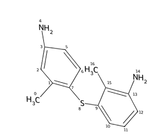 Cc1cc(N)ccc1Sc1cccc(N)c1C